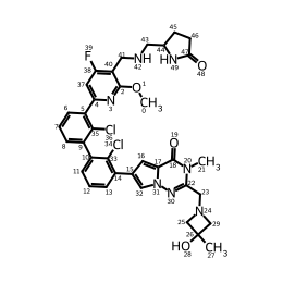 COc1nc(-c2cccc(-c3cccc(-c4cc5c(=O)n(C)c(CN6CC(C)(O)C6)nn5c4)c3Cl)c2Cl)cc(F)c1CNCC1CCC(=O)N1